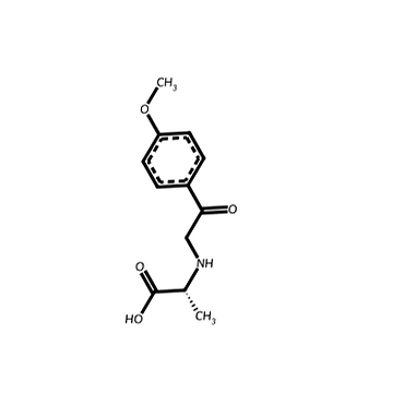 COc1ccc(C(=O)CN[C@H](C)C(=O)O)cc1